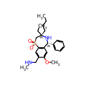 CCCC[C@]1(CC)CS(=O)(=O)c2cc(CNC)c(OC)cc2[C@@H](c2ccccc2)N1